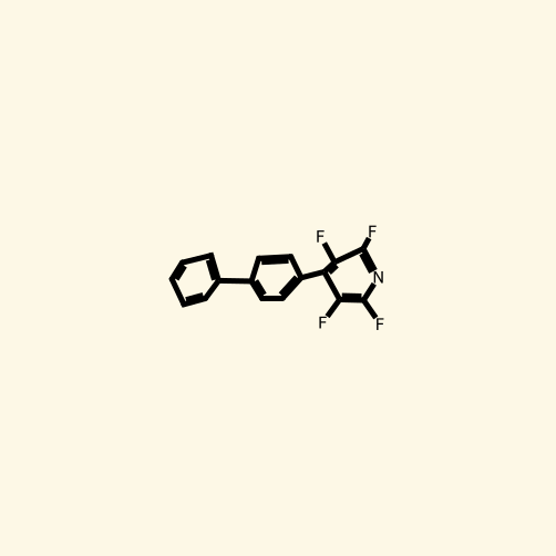 Fc1nc(F)c(F)c(-c2ccc(-c3ccccc3)cc2)c1F